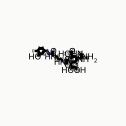 Cc1ccc(/C=C/C(=O)NCCCNC(=O)O[C@@H]([C@@H]2OC(C(=O)O)=C[C@H](NC(=N)N)[C@H]2C)[C@H](O)CO)cc1O